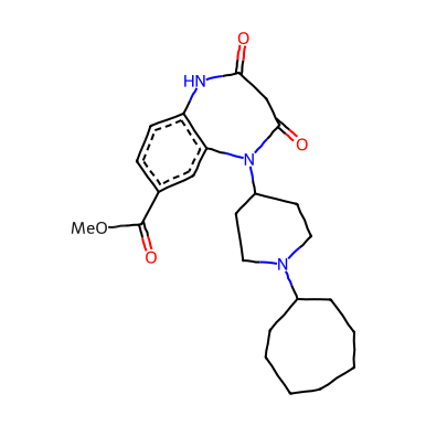 COC(=O)c1ccc2c(c1)N(C1CCN(C3CCCCCCC3)CC1)C(=O)CC(=O)N2